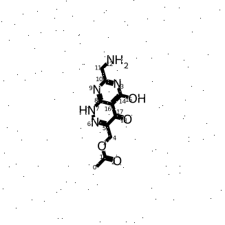 CC(=O)OCc1n[nH]c2nc(CN)nc(O)c2c1=O